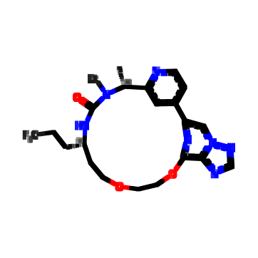 CCN1C(=O)N[C@@H](CCC(F)(F)F)CCOCCOc2nc(cn3ncnc23)-c2ccnc(c2)[C@H]1C